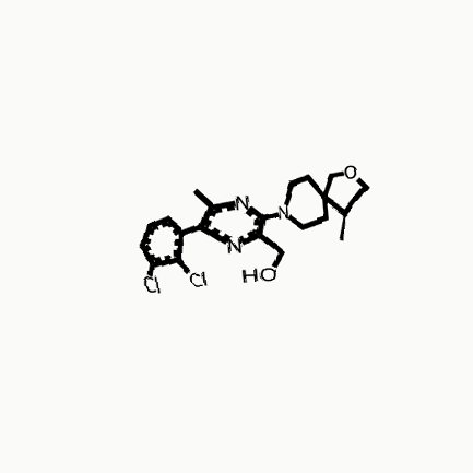 Cc1nc(N2CCC3(CC2)COC[C@H]3C)c(CO)nc1-c1cccc(Cl)c1Cl